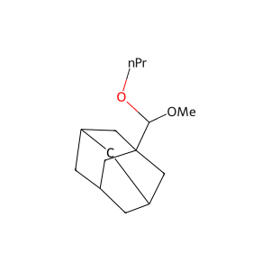 CCCOC(OC)C12CC3CC(CC(C3)C1)C2